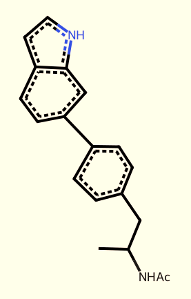 CC(=O)NC(C)Cc1ccc(-c2ccc3cc[nH]c3c2)cc1